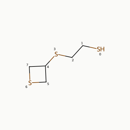 SCCSC1CSC1